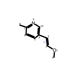 CO/C=C/c1ccc(C)nc1